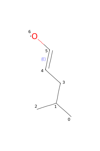 CC(C)C/C=C/[O]